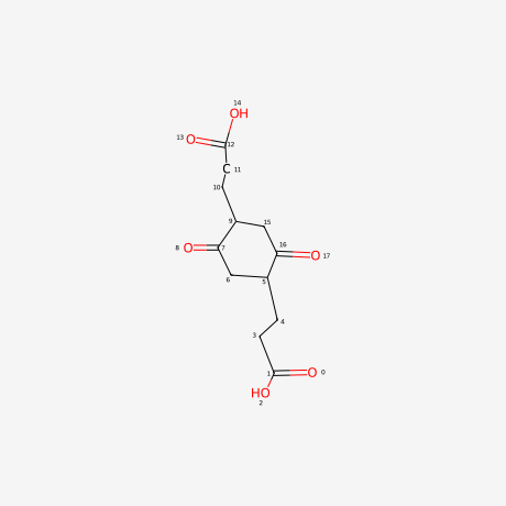 O=C(O)CCC1CC(=O)C(CCC(=O)O)CC1=O